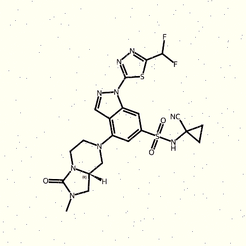 CN1C[C@H]2CN(c3cc(S(=O)(=O)NC4(C#N)CC4)cc4c3cnn4-c3nnc(C(F)F)s3)CCN2C1=O